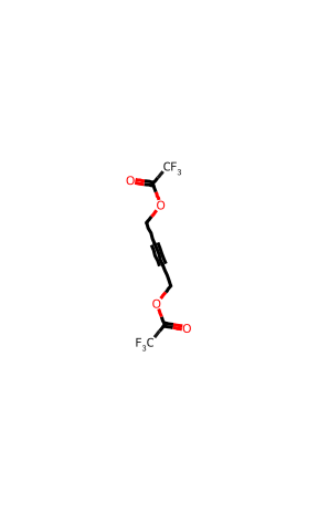 O=C(OCC#CCOC(=O)C(F)(F)F)C(F)(F)F